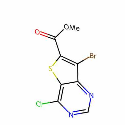 COC(=O)c1sc2c(Cl)ncnc2c1Br